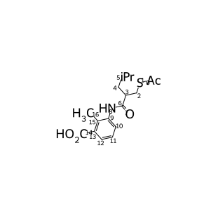 CC(=O)SCC(CC(C)C)C(=O)Nc1cccc(C(=O)O)c1C